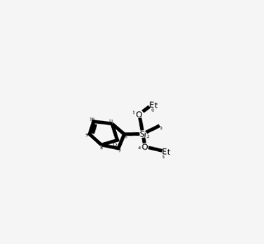 CCO[Si](C)(OCC)C1CC2C=CC1C2